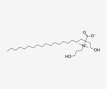 CCCCCCCCCCCCCCCCCCC(CCO)(C(=O)[O-])[N+](C)(C)CCCO